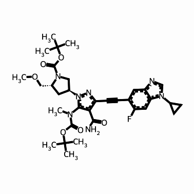 COC[C@H]1C[C@H](n2nc(C#Cc3cc4ncn(C5CC5)c4cc3F)c(C(N)=O)c2N(C)C(=O)OC(C)(C)C)CN1C(=O)OC(C)(C)C